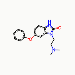 CN(C)CCn1c(=O)[nH]c2ccc(Oc3ccccc3)cc21